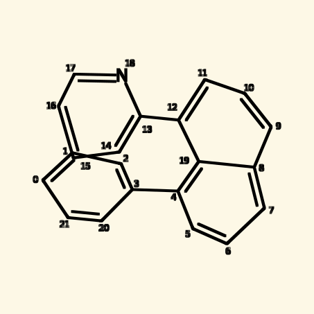 c1ccc(-c2cccc3cccc(-c4ccccn4)c23)cc1